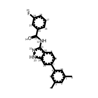 Cc1cc(C)cc(-c2ccc3c(NC(=O)c4cccc(F)c4)n[nH]c3c2)c1